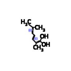 CC/C(C)=C/C=C/C(C)=C(O)O